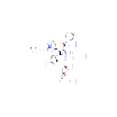 COc1nccc(-c2c(C(=O)Nc3ccccc3)c(C(C)C)n(CC[C@@H](O)C[C@@H](O)CC(=O)O)c2-c2ccc(F)cc2)n1.[CaH2]